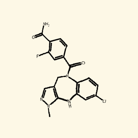 Cn1ncc2c1Nc1cc(Cl)ccc1N(C(=O)c1ccc(C(N)=O)c(F)c1)C2